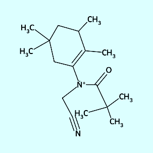 CC1=C([N+](CC#N)C(=O)C(C)(C)C)CC(C)(C)CC1C